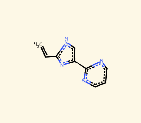 C=Cc1nc(-c2ncccn2)c[nH]1